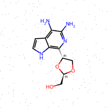 Nc1nc([C@@H]2CO[C@@H](CO)O2)c2[nH]ccc2c1N